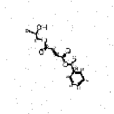 CC(O)COC(=O)C=CC(=O)OC(C)c1ccccc1